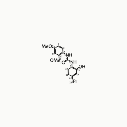 COc1ccc(NC(=O)Nc2ccc(C(C)C)cc2O)c(OC)c1